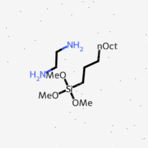 CCCCCCCCCCC[Si](OC)(OC)OC.NCCN